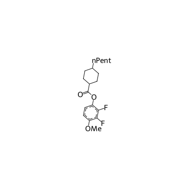 CCCCCC1CCC(C(=O)Oc2ccc(OC)c(F)c2F)CC1